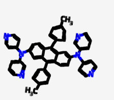 Cc1ccc(-c2c3ccc(N(c4ccncc4)c4cccnc4)cc3c(-c3ccc(C)cc3)c3ccc(N(c4ccncc4)c4cccnc4)cc23)cc1